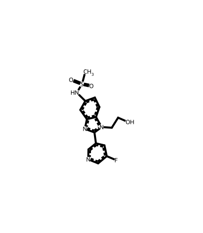 CS(=O)(=O)Nc1ccc2c(c1)nc(-c1cncc(F)c1)n2CCO